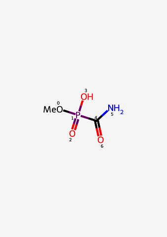 COP(=O)(O)C(N)=O